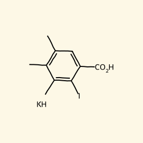 Cc1cc(C(=O)O)c(I)c(C)c1C.[KH]